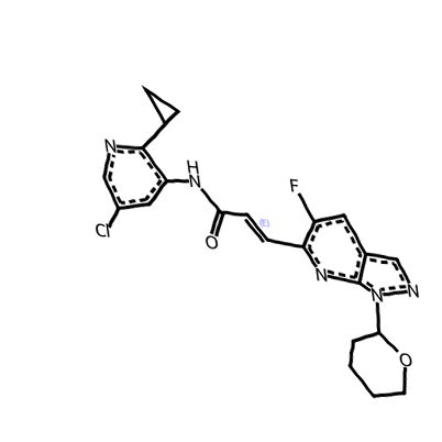 O=C(/C=C/c1nc2c(cnn2C2CCCCO2)cc1F)Nc1cc(Cl)cnc1C1CC1